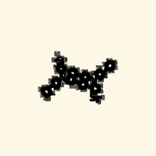 C[Si](C)(C)c1ccc(N(c2ccc(-c3ccccc3)cc2)c2ccc3c4cccc5c(N(c6ccc(-c7ccccc7)cc6)c6ccc([Si](C)(C)C)cc6)ccc(c6cccc2c63)c54)cc1